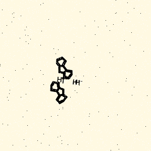 [H-].[H-].c1ccc2c(c1)Cc1[c]([Hf+2][c]3cccc4c3Cc3ccccc3-4)cccc1-2